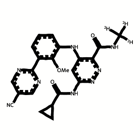 [2H]C([2H])([2H])NC(=O)c1nnc(NC(=O)C2CC2)cc1Nc1cccc(-c2ncc(C#N)cn2)c1OC